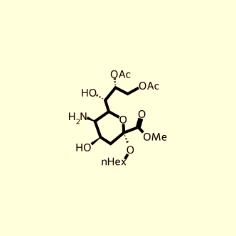 CCCCCCO[C@]1(C(=O)OC)C[C@@H](O)[C@@H](N)C([C@H](O)[C@@H](COC(C)=O)OC(C)=O)O1